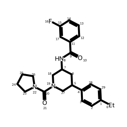 CCc1ccc(C2CC(NC(=O)c3cccc(F)c3)CN(C(=O)N3CCCC3)C2)cc1